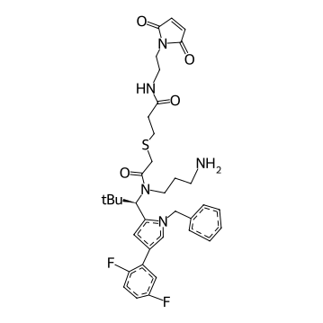 CC(C)(C)[C@H](c1cc(-c2cc(F)ccc2F)cn1Cc1ccccc1)N(CCCN)C(=O)CSCCC(=O)NCCN1C(=O)C=CC1=O